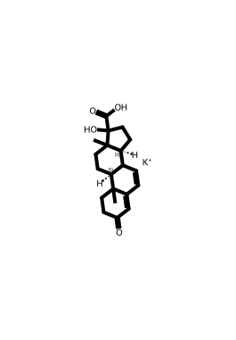 CC12CCC(=O)C=C1C=CC1[C@@H]2CCC2(C)[C@H]1CCC2(O)C(=O)O.[K+]